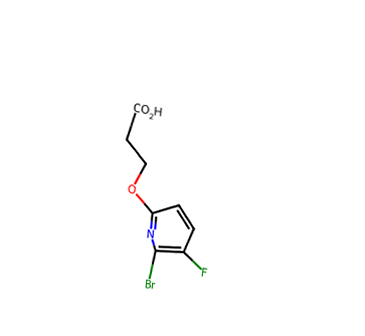 O=C(O)CCOc1ccc(F)c(Br)n1